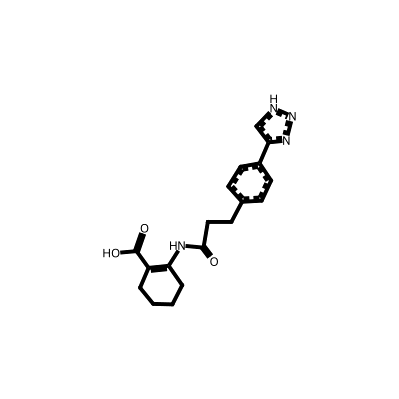 O=C(CCc1ccc(-c2c[nH]nn2)cc1)NC1=C(C(=O)O)CCCC1